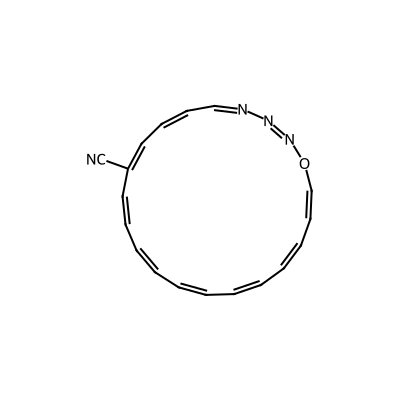 N#Cc1cccccccccccconnncccc1